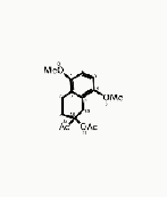 COc1ccc(OC)c2c1CCC(OC(C)=O)(C(C)=O)C2